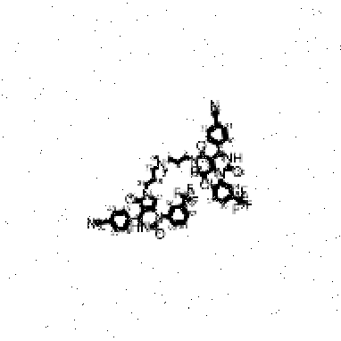 C[N+](C)(CCCNC(=O)C1=C(C(=O)O)N(c2cccc(C(F)(F)F)c2)C(=O)N[C@@H]1c1ccc(C#N)cc1)CCCN1CC2=C(C1=O)[C@@H](c1ccc(C#N)cc1)NC(=O)N2c1cccc(C(F)(F)F)c1